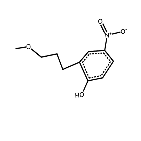 COCCCc1cc([N+](=O)[O-])ccc1O